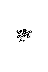 CC(C)(C)c1cc(-c2c3c(c(-c4cc(C(C)(C)C)cc(C(C)(C)C)c4)c4ccccc24)-c2ccc4c5c(ccc-3c25)-c2c-4c(-c3ccccn3)c3cc4ccccc4cc3c2-c2ccccn2)cc(C(C)(C)C)c1